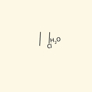 CC.CCl.O